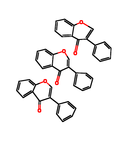 O=c1c(-c2ccccc2)coc2ccccc12.O=c1c(-c2ccccc2)coc2ccccc12.O=c1c(-c2ccccc2)coc2ccccc12